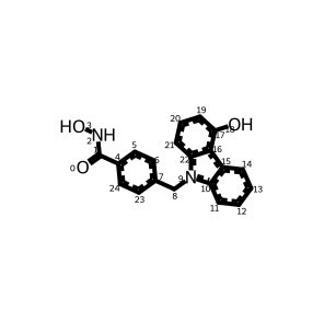 O=C(NO)c1ccc(Cn2c3ccccc3c3c(O)cccc32)cc1